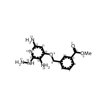 COC(=O)c1cccc(COc2cc(N)nc(NN)c2N)c1